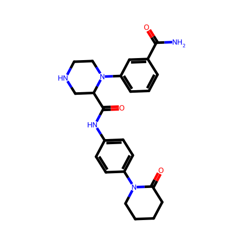 NC(=O)c1cccc(N2CCNCC2C(=O)Nc2ccc(N3CCCCC3=O)cc2)c1